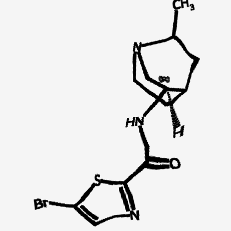 CC1CC2CCN1C[C@@H]2NC(=O)c1ncc(Br)s1